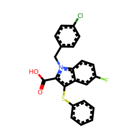 O=C(O)c1c(Sc2ccccc2)c2cc(F)ccc2n1Cc1ccc(Cl)cc1